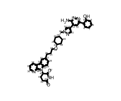 Nc1nnc(-c2ccccc2O)cc1-c1cnn(C[C@H]2CC[C@H](OCCCc3ccc4c(c3)c3cccnc3n4C3CCC(=O)NC3=O)CC2)c1